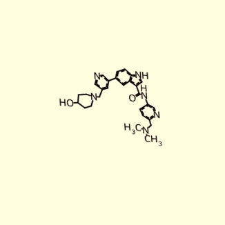 CN(C)Cc1ccc(NC(=O)c2c[nH]c3ccc(-c4cncc(CN5CCC(O)CC5)c4)cc23)cn1